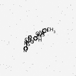 Cc1nc(-c2ccncc2)sc1C(=O)N1CCC[C@@H]1c1cccc(C(=O)Nc2nc3c(s2)CN(C)CC3)c1